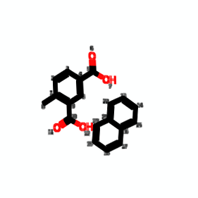 Cc1ccc(C(=O)O)cc1C(=O)O.c1ccc2ccccc2c1